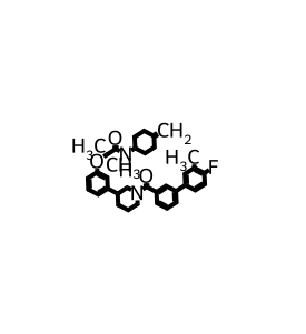 C=C1CCC(NC(=O)C(C)(C)Oc2cccc(C3CCCN(C(=O)c4cccc(-c5ccc(F)c(C)c5)c4)C3)c2)CC1